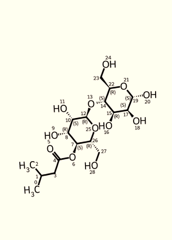 CC(C)CC(=O)O[C@H]1[C@H](O)[C@H](O)[C@@H](O[C@H]2[C@H](O)[C@H](O)[C@@H](O)O[C@@H]2CO)O[C@@H]1CO